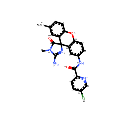 COc1ccc2c(c1)C1(N=C(N)N(C)C1=O)c1cc(NC(=O)c3ccc(Cl)cn3)ccc1O2